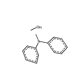 CN(c1ccccc1)c1ccccc1.CO